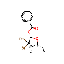 CC[C@H]1OC(OC(=O)c2ccccc2)C(Br)(Br)[C@H]1C